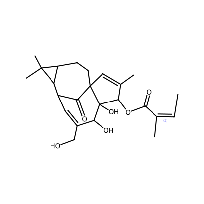 C/C=C(/C)C(=O)OC1C(C)=CC23CCC4C(C(C=C(CO)C(O)C12O)C3=O)C4(C)C